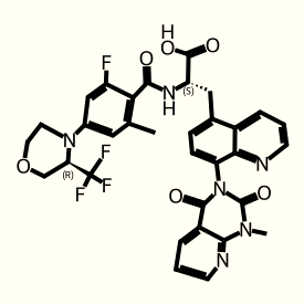 Cc1cc(N2CCOC[C@@H]2C(F)(F)F)cc(F)c1C(=O)N[C@@H](Cc1ccc(-n2c(=O)c3cccnc3n(C)c2=O)c2ncccc12)C(=O)O